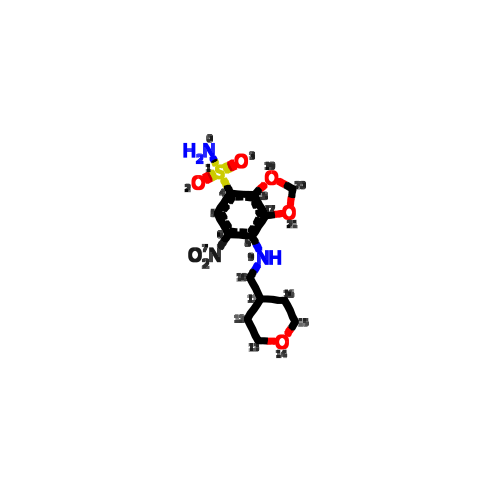 NS(=O)(=O)c1cc([N+](=O)[O-])c(NCC2CCOCC2)c2c1OCO2